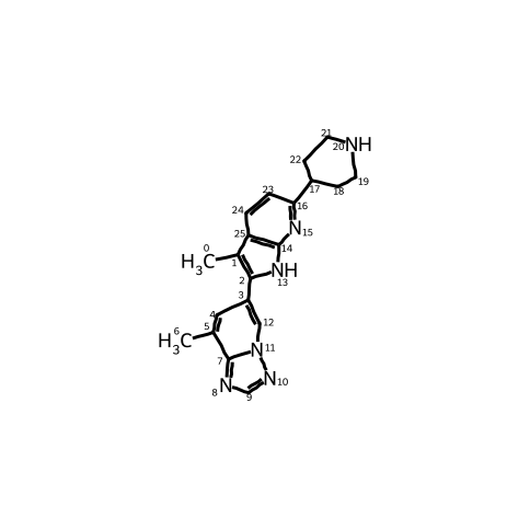 Cc1c(-c2cc(C)c3ncnn3c2)[nH]c2nc(C3CCNCC3)ccc12